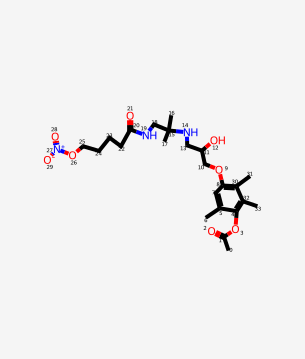 CC(=O)Oc1c(C)cc(OCC(O)CNC(C)(C)CNC(=O)CCCCO[N+](=O)[O-])c(C)c1C